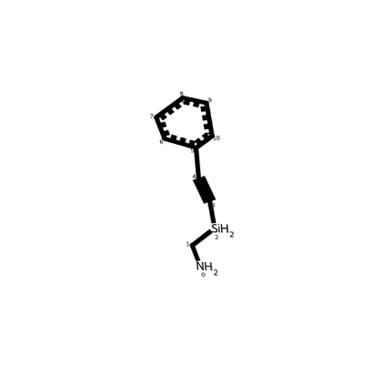 NC[SiH2]C#Cc1ccccc1